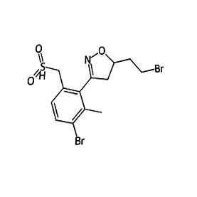 Cc1c(Br)ccc(C[SH](=O)=O)c1C1=NOC(CCBr)C1